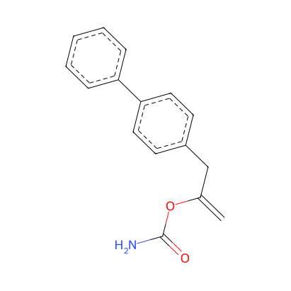 C=C(Cc1ccc(-c2ccccc2)cc1)OC(N)=O